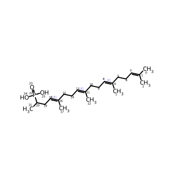 CC(C)=CCC/C(C)=C/CC/C(C)=C/CC/C(C)=C/CC(C)P(=O)(O)O